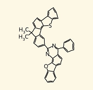 CC1(C)c2ccc(-c3nc(-c4ccccc4)c4ccc5c6ccccc6oc5c4n3)cc2-c2c1ccc1c2sc2ccccc21